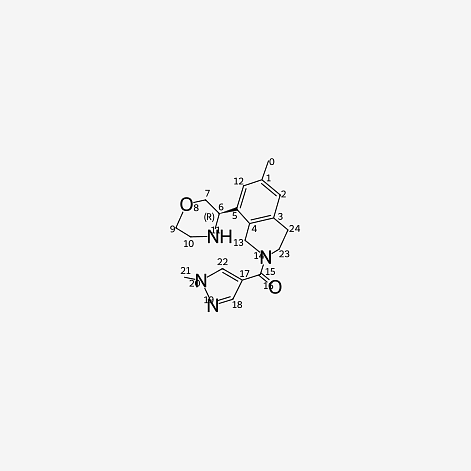 Cc1cc2c(c([C@@H]3COCCN3)c1)CN(C(=O)c1cnn(C)c1)CC2